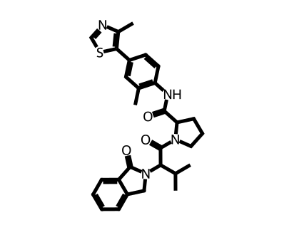 Cc1cc(-c2scnc2C)ccc1NC(=O)C1CCCN1C(=O)C(C(C)C)N1Cc2ccccc2C1=O